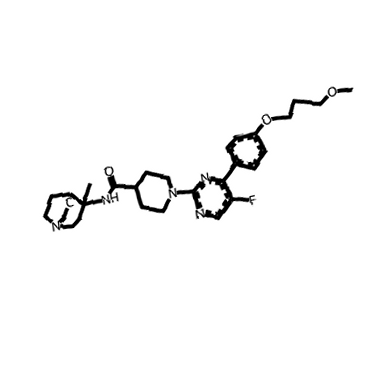 COCCCOc1ccc(-c2nc(N3CCC(C(=O)NC4(C)CCN5CCC4CC5)CC3)ncc2F)cc1